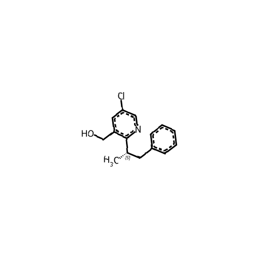 C[C@@H](Cc1ccccc1)c1ncc(Cl)cc1CO